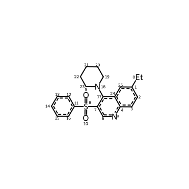 CCc1ccc2ncc(S(=O)(=O)c3ccccc3)c(N3CCCCC3)c2c1